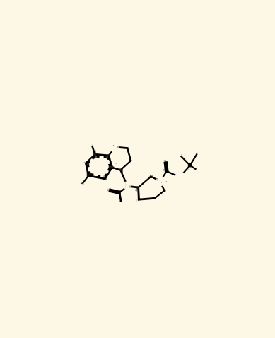 CC(=O)N(C1CCCN(C(=O)OC(C)(C)C)C1)C1CCNc2c(Cl)cc(Cl)cc21